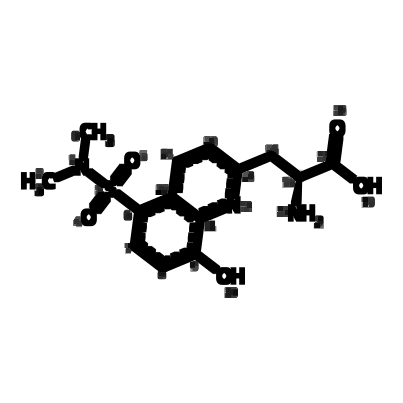 CN(C)S(=O)(=O)c1ccc(O)c2nc(C[C@H](N)C(=O)O)ccc12